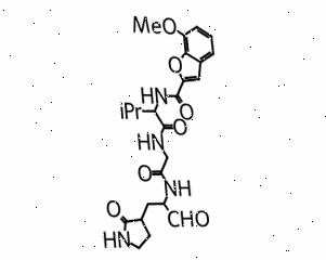 COc1cccc2cc(C(=O)NC(C(=O)NCC(=O)NC(C=O)CC3CCNC3=O)C(C)C)oc12